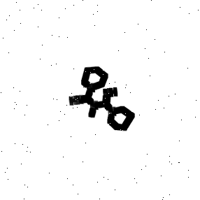 CN(C(=N)N1CCCCC1)C(=N)N1CCCCC1